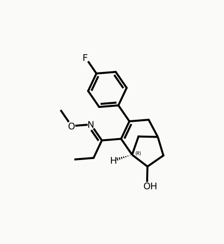 CCC(=NOC)C1=C(c2ccc(F)cc2)CC2CC(O)[C@@H]1C2